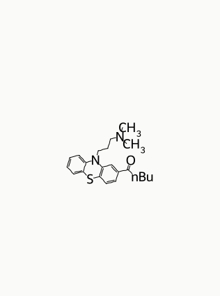 CCCCC(=O)c1ccc2c(c1)N(CCCN(C)C)c1ccccc1S2